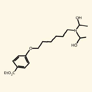 CCOC(=O)c1ccc(OCCCCCCN(C(C)O)C(C)O)cc1